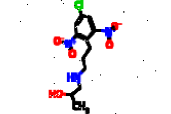 CC(O)CNCCCc1c([N+](=O)[O-])cc(Cl)cc1[N+](=O)[O-]